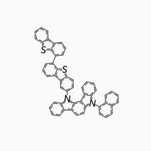 c1ccc2c(-n3c4ccccc4c4c3ccc3c5ccccc5n(-c5ccc6sc7c(-c8cccc9c8sc8ccccc89)cccc7c6c5)c34)cccc2c1